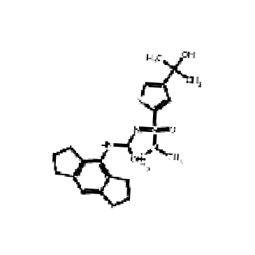 CN(C)S(=O)(=NC(O)Nc1c2c(cc3c1CCC3)CCC2)c1cc(C(C)(C)O)cs1